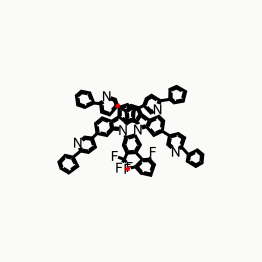 Fc1cccc(F)c1-c1cc(-n2c3cc(-c4ccc(-c5ccccc5)nc4)ccc3c3ccc(-c4ccc(-c5ccccc5)nc4)cc32)c(-n2c3cc(-c4ccc(-c5ccccc5)nc4)ccc3c3ccc(-c4ccc(-c5ccccc5)nc4)cc32)cc1C(F)(F)F